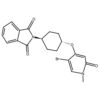 Cn1cc(Br)c(O[C@H]2CC[C@H](N3C(=O)c4ccccc4C3=O)CC2)cc1=O